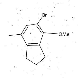 COc1c(Br)cc(C)c2c1CCC2